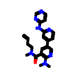 C=CCCN(C)C(=O)c1cc(-c2ccnc(Nc3ccncn3)c2)cnc1N(C)C